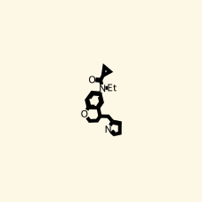 CCN(C(=O)C1CC1)c1ccc2c(c1)C(CC1=CCC=N1)CCO2